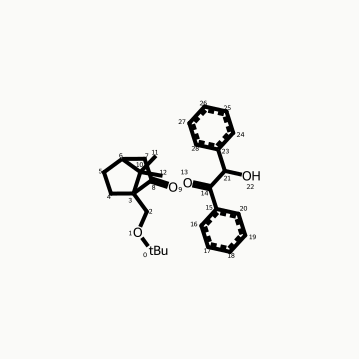 CC(C)(C)OCC12CCC(CC1=O)C2(C)C.O=C(c1ccccc1)C(O)c1ccccc1